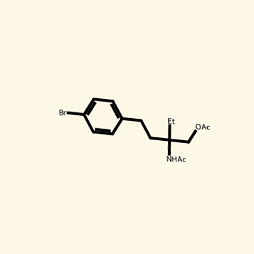 CCC(CCc1ccc(Br)cc1)(COC(C)=O)NC(C)=O